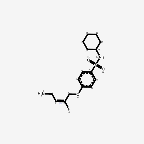 NC/C=C(/F)COc1ccc(S(=O)(=O)NC2CCCCC2)cc1